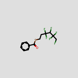 O=C(SCCC(F)(F)C(F)C(F)(F)CF)c1ccccc1